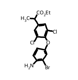 CCOC(=O)C(C)c1cc(Cl)c(Oc2ccc(N)c(Br)c2)c(Cl)c1